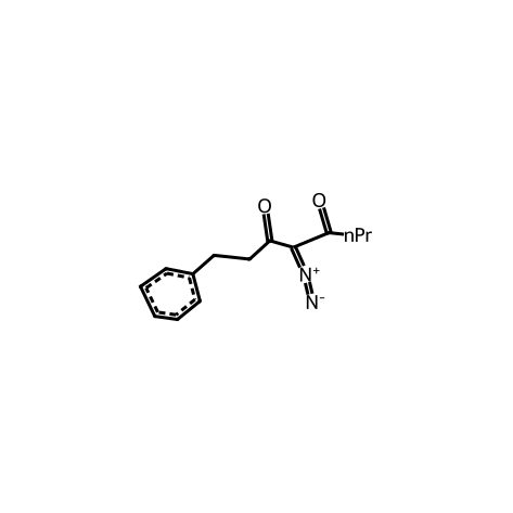 CCCC(=O)C(=[N+]=[N-])C(=O)CCc1ccccc1